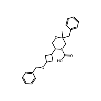 CC1(Cc2ccccc2)CN(C(=O)O)C(C2CC(OCc3ccccc3)C2)CO1